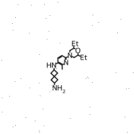 CCC1CN(c2ccc(NC3CC4(CC(N)C4)C3)c(C)n2)CC(CC)O1